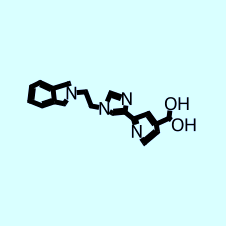 OC(O)c1ccnc(-c2cn(CCN3Cc4ccccc4C3)cn2)c1